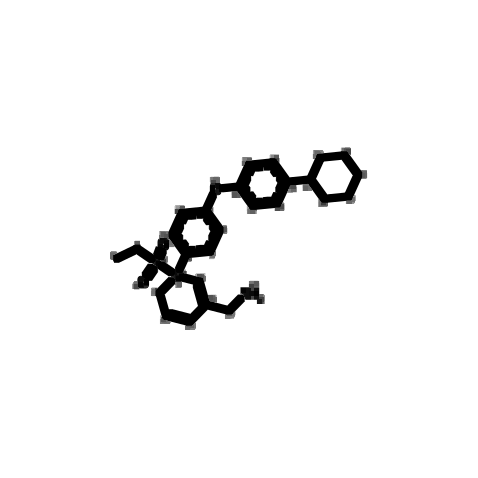 CCS(=O)(=O)[N+]1(c2ccc(Oc3ccc(C4CCCCC4)cc3)cc2)C=C(CN)C=CC1